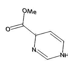 COC(=O)[C]1C=CNC=N1